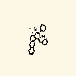 NC(=Cc1ccccc1)c1ccc2cc3ccccc3cc2c1C(N)=Cc1ccccc1